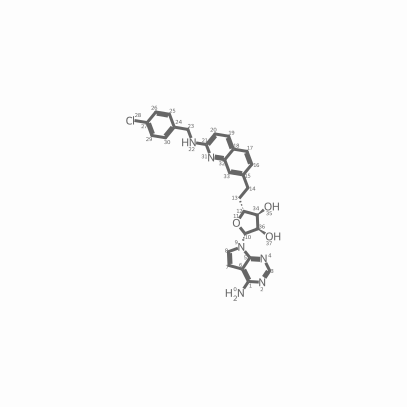 Nc1ncnc2c1ccn2[C@@H]1O[C@H](CCc2ccc3ccc(NCc4ccc(Cl)cc4)nc3c2)[C@@H](O)[C@H]1O